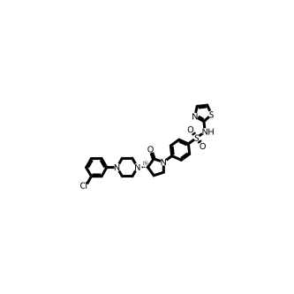 O=C1[C@@H](N2CCN(c3cccc(Cl)c3)CC2)CCN1c1ccc(S(=O)(=O)Nc2nccs2)cc1